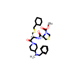 CN(Cc1ccccc1)C1CCN(C(=O)[C@H](CSCC2CCCCC2)NC(=O)[C@@H]2CSCN2C(=O)OC(C)(C)C)CC1